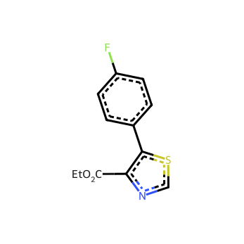 CCOC(=O)c1ncsc1-c1ccc(F)cc1